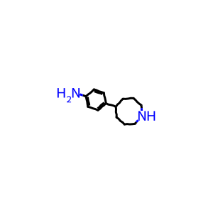 Nc1ccc(C2CCCNCCC2)cc1